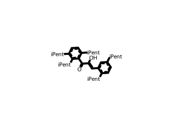 CCCC(C)c1ccc(C(C)CCC)c(C=C(O)C(=O)c2c(C(C)CCC)ccc(C(C)CCC)c2C(C)CCC)c1